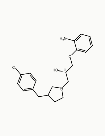 Nc1ccccc1OC[C@@H](O)CN1CCC(Cc2ccc(Cl)cc2)C1